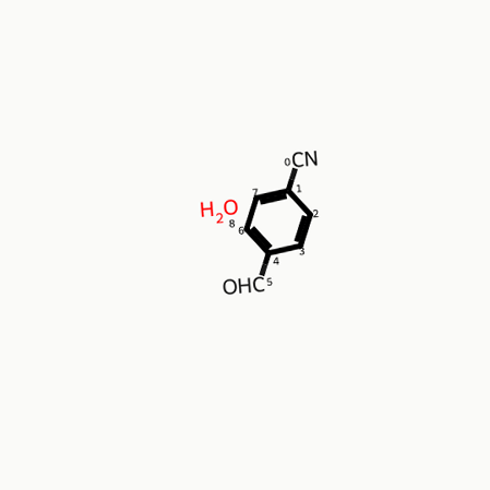 N#Cc1ccc(C=O)cc1.O